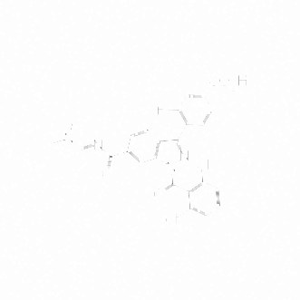 CN(C)/C=N/C(=O)c1ccc2c(-c3ccc(C(=O)O)cc3F)nn(C(=O)c3c(Cl)cccc3C(F)(F)F)c2c1